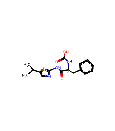 CC(C)c1cnc(NC(=O)[C@H](Cc2ccccc2)NC(=O)O)s1